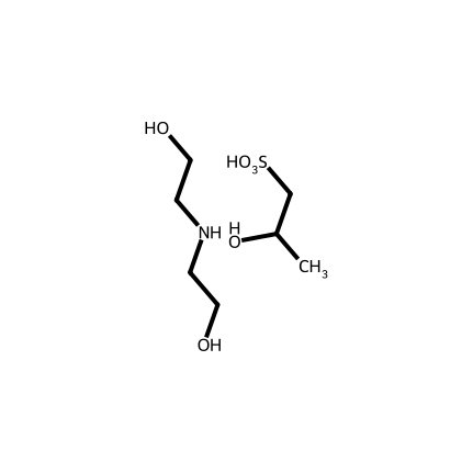 CC(O)CS(=O)(=O)O.OCCNCCO